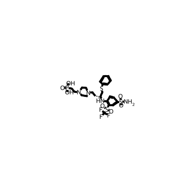 NS(=O)(=O)c1ccc(N[C@H](CCN2CCN(CCP(=O)(O)O)CC2)CSc2ccccc2)c(S(=O)(=O)C(F)(F)F)c1